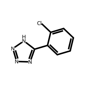 Clc1ccccc1-c1nnn[nH]1